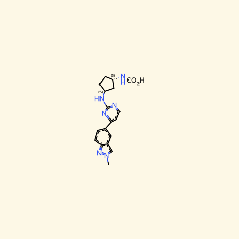 Cn1cc2cc(-c3ccnc(N[C@H]4CC[C@H](NC(=O)O)C4)n3)ccc2n1